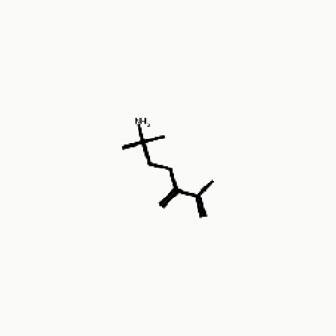 C=C(C)C(=C)CCC(C)(C)N